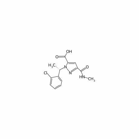 CNC(=O)c1cc(C(=O)O)n([C@@H](C)c2ccccc2Cl)n1